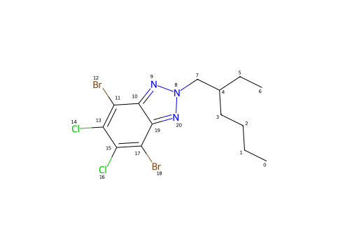 CCCCC(CC)Cn1nc2c(Br)c(Cl)c(Cl)c(Br)c2n1